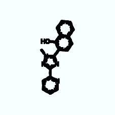 Cn1nc(-c2ccccn2)nc1-c1ccc2ccccc2c1O